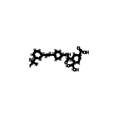 O=C(O)c1ccc(C(=O)O)c(C(=O)Nc2ccc(C#Cc3cccc(C(F)(F)F)c3)cc2)c1